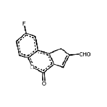 O=CC1=Cc2c(c3cc(F)ccc3oc2=O)C1